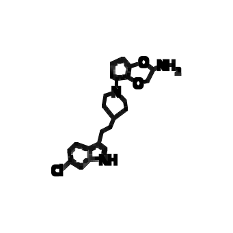 NC1COc2c(cccc2N2CCC(CCc3c[nH]c4cc(Cl)ccc34)CC2)O1